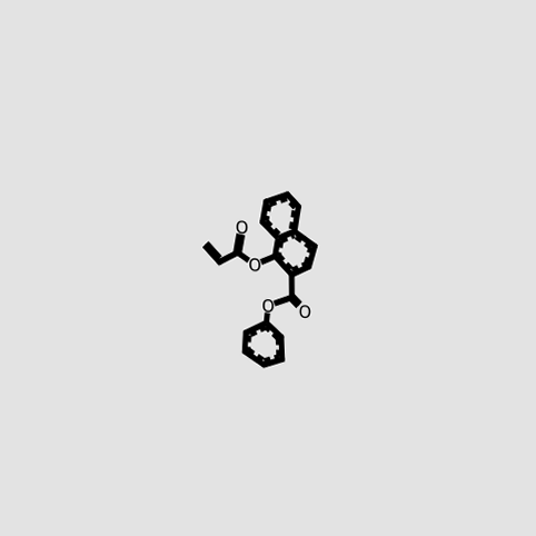 C=CC(=O)Oc1c(C(=O)Oc2ccccc2)ccc2ccccc12